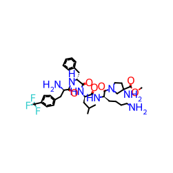 COC(=O)C1(N)CCN(C(=O)[C@@H](CCCCN)NC(=O)[C@@H](CC(C)C)NC(=O)[C@@H](Cc2ccccc2)NC(=O)[C@H](N)Cc2ccc(C(F)(F)F)cc2)C1